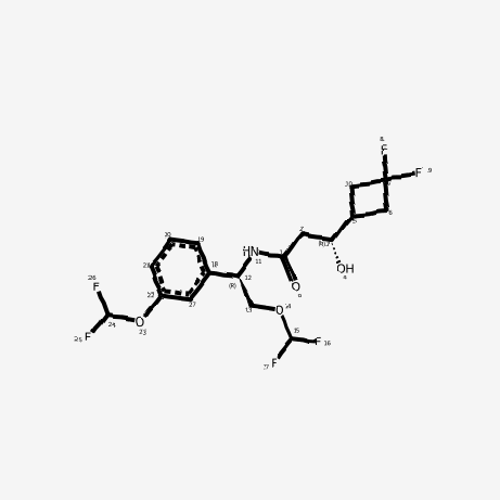 O=C(C[C@@H](O)C1CC(F)(F)C1)N[C@@H](COC(F)F)c1cccc(OC(F)F)c1